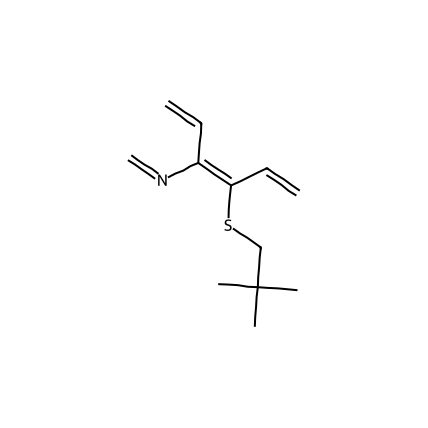 C=C/C(N=C)=C(\C=C)SCC(C)(C)C